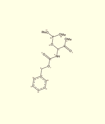 COC(=O)C(NC(=O)OCc1ccccc1)OP(OC)OC